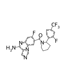 Nc1nc2cc(F)c(C(=O)N3CCCCC3c3ccc(C(F)(F)F)cc3F)cc2n2cncc12